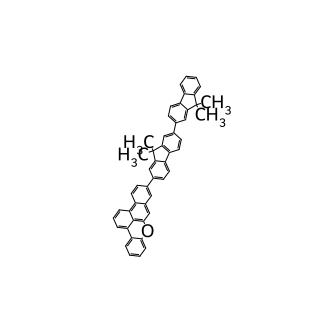 CC1(C)c2ccccc2-c2ccc(-c3ccc4c(c3)C(C)(C)c3cc(-c5ccc6c(c5)cc5c7c(cccc76)-c6ccccc6O5)ccc3-4)cc21